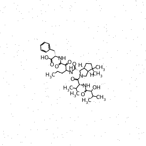 CCCC(NC(=O)[C@@H]1[C@H]2CCC(C)(C)[C@H]2CN1C(=O)[C@@H](NC(=O)[C@@H](O)C(C)C)C(C)C)C(=O)C(=O)N[C@@H](Cc1ccccc1)C(=O)O